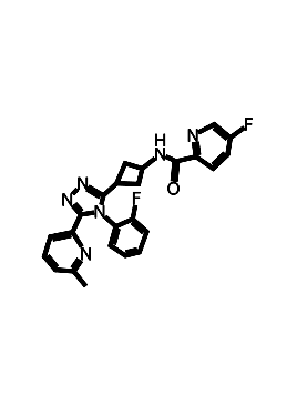 Cc1cccc(-c2nnc(C3CC(NC(=O)c4ccc(F)cn4)C3)n2-c2ccccc2F)n1